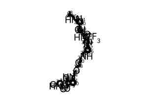 O=C1CCC(N2C(=O)c3cccc(NCCOCCOCCNCc4cccc([N+]5=CC(NC(=O)c6coc(-c7ccnc(NCC8CC8)c7)n6)C(C(F)(F)F)=N5)c4)c3C2=O)C(=O)N1